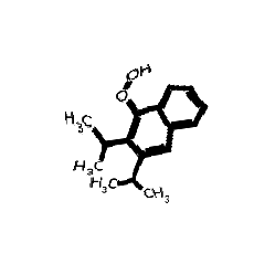 CC(C)c1cc2ccccc2c(OO)c1C(C)C